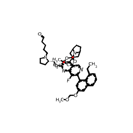 CCc1cccc2cc(OCOC)cc(-c3ncc4c(N5CC6CCC(C5)N6C(=O)OC(C)(C)C)nc(OC[C@@H]5CCCN5CCCCC=O)nc4c3F)c12